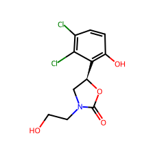 O=C1O[C@H](c2c(O)ccc(Cl)c2Cl)CN1CCO